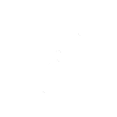 O=C(NN/C=C1\C=CC=N1)c1ccncc1